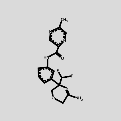 Cc1cnc(C(=O)Nc2cccc(C3(C(F)F)COCC(N)=N3)c2)cn1